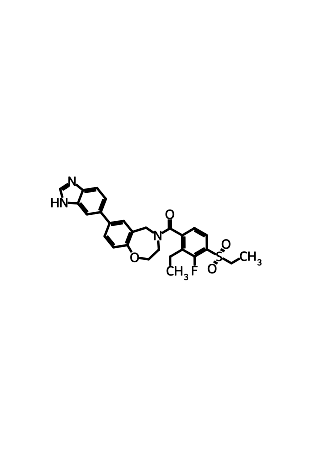 CCc1c(C(=O)N2CCOc3ccc(-c4ccc5nc[nH]c5c4)cc3C2)ccc(S(=O)(=O)CC)c1F